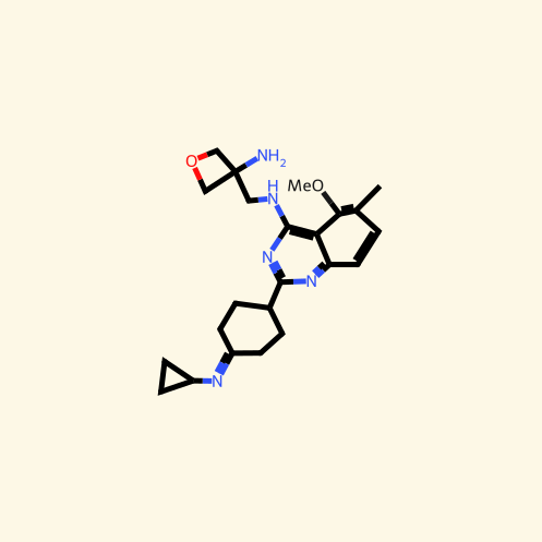 COc1c(C)ccc2nc(C3CCC(=NC4CC4)CC3)nc(NCC3(N)COC3)c12